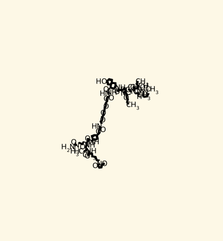 CCCO[C@H](C[C@H](C(C)C)N(CCC)C(=O)[C@@H](NC(=O)[C@H]1CCCCN1C)[C@@H](C)CC)c1nc(C(=O)N[C@H]2Cc3ccc(O)cc3[C@H](C(=O)NNC(=O)OCCOCCOCCOCCNC(=O)OCc3ccc(NC(=O)[C@H](CCCNC(N)=O)NC(=O)[C@@H](NC(=O)CCCCCN4C(=O)C=CC4=O)C(C)C)cc3)C2)cs1